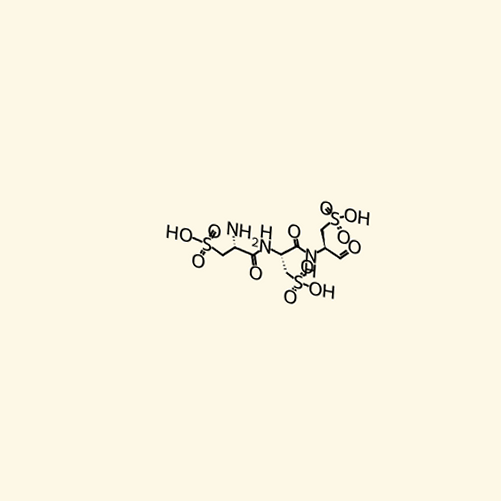 N[C@@H](CS(=O)(=O)O)C(=O)N[C@@H](CS(=O)(=O)O)C(=O)N[C@H](C=O)CS(=O)(=O)O